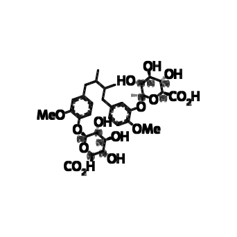 COc1cc(CC(C)C(C)Cc2ccc(OC)c(O[C@]3(C)O[C@H](C(=O)O)[C@@H](O)[C@H](O)[C@H]3O)c2)ccc1O[C@@H]1O[C@H](C(=O)O)[C@@H](O)[C@H](O)[C@H]1O